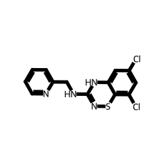 Clc1cc(Cl)c2c(c1)NC(NCc1ccccn1)=NS2